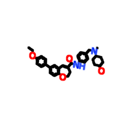 CCOc1ccc(-c2ccc3c(c2)C=C(C(=O)Nc2ccc(CN(C)C4CCC(=O)CC4)cc2)CCO3)cc1